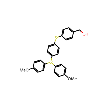 COc1ccc([S+](c2ccc(OC)cc2)c2ccc(Sc3ccc(CO)cc3)cc2)cc1